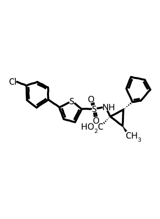 C[C@@H]1[C@@H](c2ccccc2)[C@@]1(NS(=O)(=O)c1ccc(-c2ccc(Cl)cc2)s1)C(=O)O